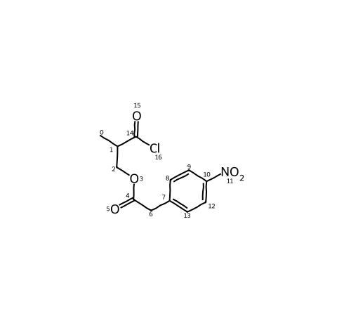 CC(COC(=O)Cc1ccc([N+](=O)[O-])cc1)C(=O)Cl